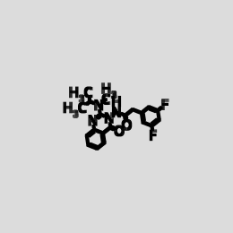 CC(C)N(C)c1nc2ccccc2c(=O)n1NC(=O)Cc1cc(F)cc(F)c1